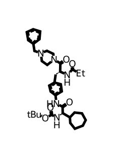 CCC(=O)N[C@H](Cc1ccc(NC(=O)[C@@H](NC(=O)OC(C)(C)C)C2CCCCCC2)cc1)C(=O)N1CCN(Cc2ccccc2)CC1